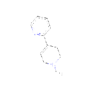 N#CN1CC=C(c2ccccn2)CC1